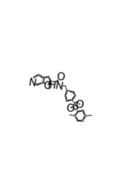 Cc1ccc(C)c(S(=O)(=O)c2ccc(CNC(=O)c3cc4ccncc4o3)cc2)c1